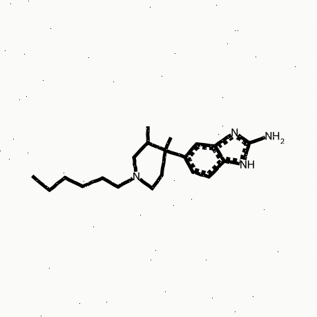 CCCCCCN1CCC(C)(c2ccc3[nH]c(N)nc3c2)C(C)C1